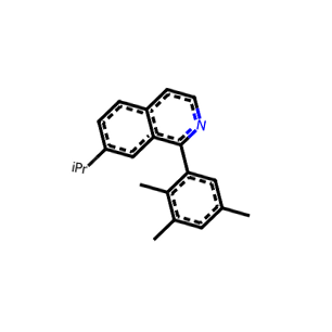 Cc1cc(C)c(C)c(-c2nccc3ccc(C(C)C)cc23)c1